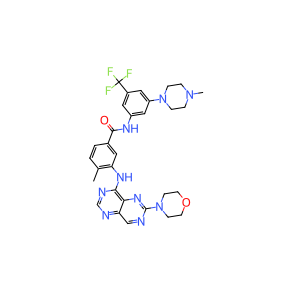 Cc1ccc(C(=O)Nc2cc(N3CCN(C)CC3)cc(C(F)(F)F)c2)cc1Nc1ncnc2cnc(N3CCOCC3)nc12